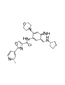 Cc1cc(-c2nc(C(=O)NC3=C/C(=C/NC4CCCC4)C(=N)C=C3N3CCOCC3)co2)ccn1